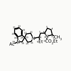 CCOC(=O)N1C(C)CCC1CC(CC)N1CCC2(CC1)CN(C(C)=O)c1ccccc12